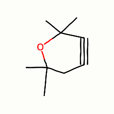 CC1(C)C#CCC(C)(C)O1